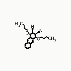 CCCCOc1c(C#N)c(C#N)c(OCCCC)c2cc3ccccc3cc12